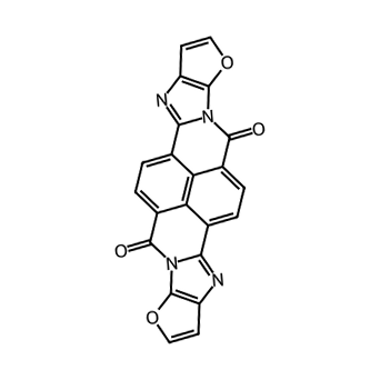 O=c1c2ccc3c4c(ccc(c24)c2nc4ccoc4n12)c(=O)n1c3nc2ccoc21